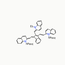 CCCCCN1/C(=C/C=C2C(/C=C3\C=Cc4ccccc4N3CC)=C(/C=C/c3ccc4ccccc4[n+]3CCCCC)c3ccccc3/2)C=Cc2ccccc21